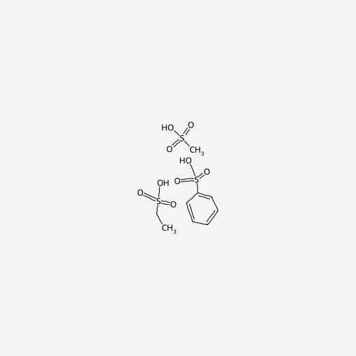 CCS(=O)(=O)O.CS(=O)(=O)O.O=S(=O)(O)c1ccccc1